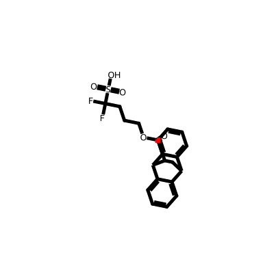 O=C(OCCCC(F)(F)S(=O)(=O)O)C1CC2c3ccccc3C1c1ccccc12